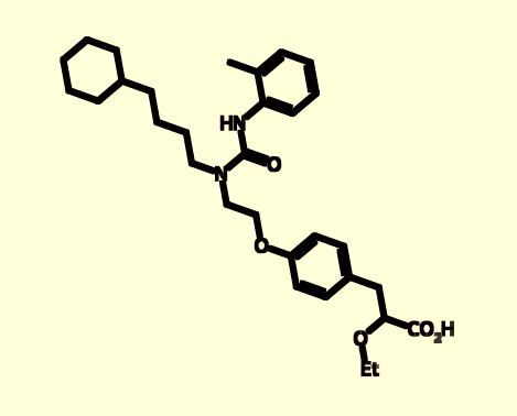 CCOC(Cc1ccc(OCCN(CCCCC2CCCCC2)C(=O)Nc2ccccc2C)cc1)C(=O)O